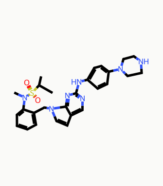 CC(C)S(=O)(=O)N(C)c1ccccc1Cn1ccc2cnc(Nc3ccc(N4CCNCC4)cc3)nc21